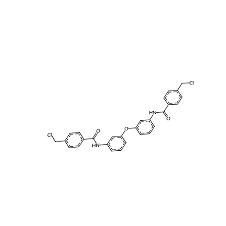 O=C(Nc1cccc(Oc2cccc(NC(=O)c3ccc(CCl)cc3)c2)c1)c1ccc(CCl)cc1